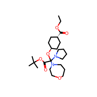 CCOC(=O)[C@H]1CC[C@H](OC(C(=O)OC(C)(C)C)(N2CCCC2)N2CCCOCC2)CC1